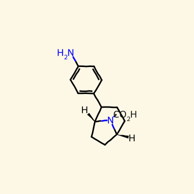 Nc1ccc(C2CC[C@@H]3CC[C@H]2N3C(=O)O)cc1